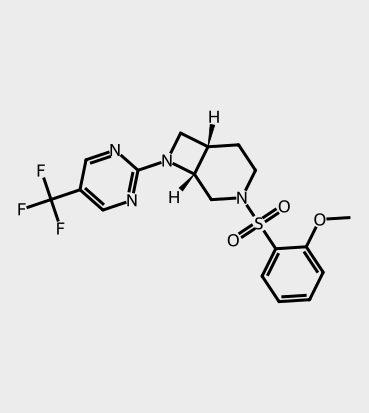 COc1ccccc1S(=O)(=O)N1CC[C@H]2CN(c3ncc(C(F)(F)F)cn3)[C@H]2C1